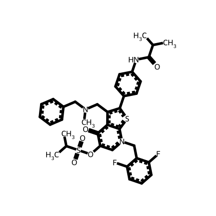 CC(C)C(=O)Nc1ccc(-c2sc3c(c2CN(C)Cc2ccccc2)c(=O)c(OS(=O)(=O)C(C)C)cn3Cc2c(F)cccc2F)cc1